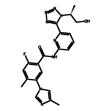 Cc1cn(-c2cc(C(=O)Nc3cccc(-c4nnnn4[C@H](C)CO)n3)c(F)cc2C)cn1